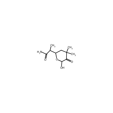 CC(C(N)=O)C1CC(C)(C)C(=O)C(O)O1